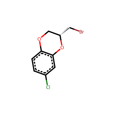 Clc1ccc2c(c1)O[C@@H](CBr)CO2